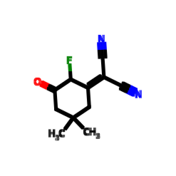 CC1(C)CC(=O)C(F)C(=C(C#N)C#N)C1